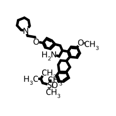 COc1ccc(C2CCc3cc(O[Si](C)(C)CC(C)C)ccc3C2)c(C(CN)Cc2ccc(OCCN3CCCCCC3)cc2)c1